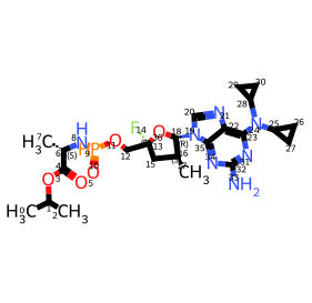 CC(C)OC(=O)[C@H](C)N[PH](=O)OC[C@]1(F)C[C@H](C)[C@H](n2cnc3c(N(C4CC4)C4CC4)nc(N)nc32)O1